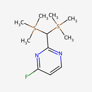 CS(C)(C)C(c1nccc(F)n1)S(C)(C)C